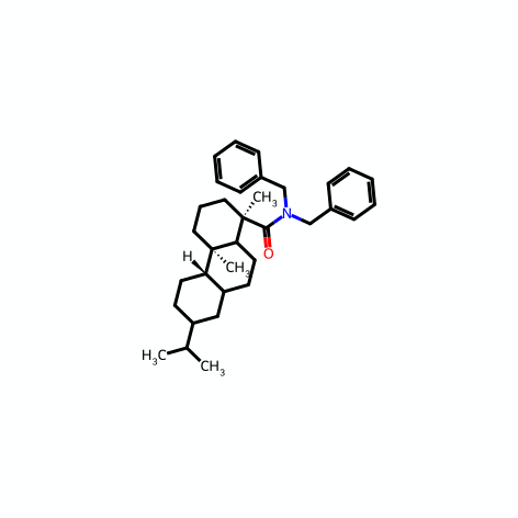 CC(C)C1CC[C@H]2C(CCC3[C@](C)(C(=O)N(Cc4ccccc4)Cc4ccccc4)CCC[C@@]32C)C1